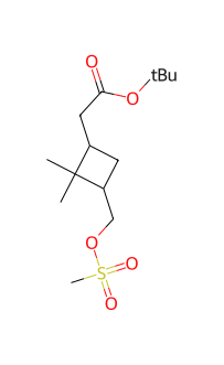 CC(C)(C)OC(=O)CC1CC(COS(C)(=O)=O)C1(C)C